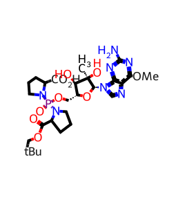 COc1nc(N)nc2c1ncn2[C@@H]1O[C@H](COP(=O)(N2CCCC2C(=O)O)N2CCCC2C(=O)OCC(C)(C)C)[C@@H](O)[C@@]1(C)O